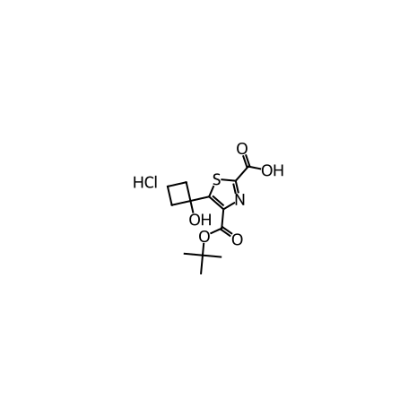 CC(C)(C)OC(=O)c1nc(C(=O)O)sc1C1(O)CCC1.Cl